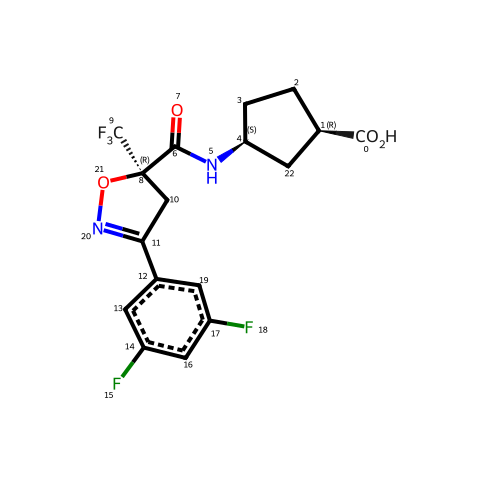 O=C(O)[C@@H]1CC[C@H](NC(=O)[C@@]2(C(F)(F)F)CC(c3cc(F)cc(F)c3)=NO2)C1